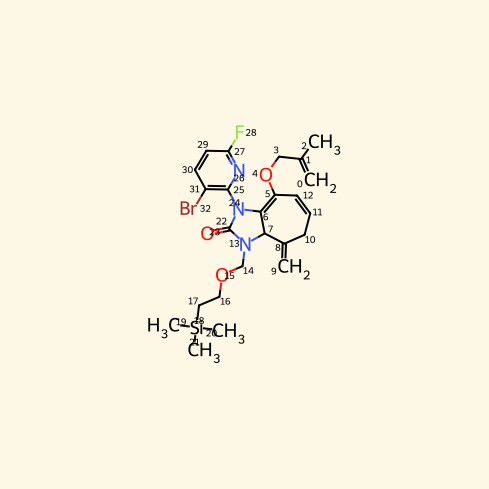 C=C(C)COC1=C2C(C(=C)CC=C1)N(COCC[Si](C)(C)C)C(=O)N2c1nc(F)ccc1Br